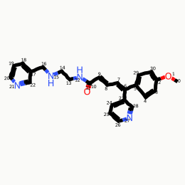 COc1ccc(C(=CC=CC(=O)NCCNCc2cccnc2)c2cccnc2)cc1